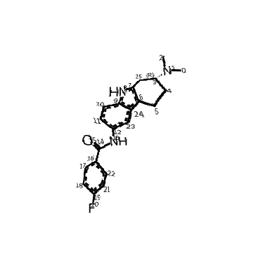 CN(C)[C@@H]1CCc2c([nH]c3ccc(NC(=O)c4ccc(F)cc4)cc23)C1